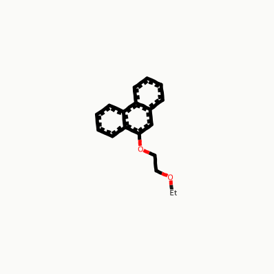 CCOCCOc1cc2ccccc2c2ccccc12